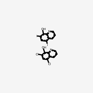 Oc1c(Cl)cc(Cl)c2cccnc12.Oc1c(I)cc(I)c2cccnc12